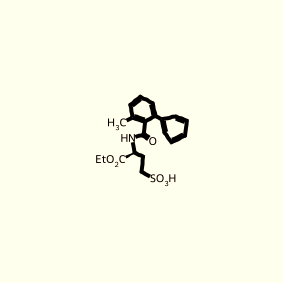 CCOC(=O)[C@H](CCS(=O)(=O)O)NC(=O)c1c(C)cccc1-c1ccccc1